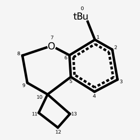 CC(C)(C)c1cccc2c1OCCC21CCC1